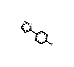 Fc1c[c]c(-c2ccno2)cc1